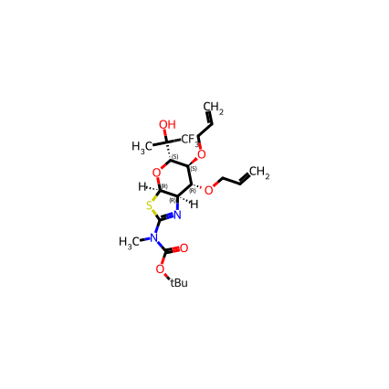 C=CCO[C@@H]1[C@H]2N=C(N(C)C(=O)OC(C)(C)C)S[C@H]2O[C@H](C(C)(O)C(F)(F)F)[C@H]1OCC=C